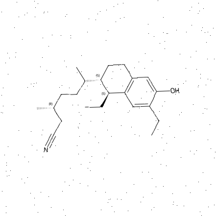 CCc1cc2c(cc1O)CC[C@@H](C(C)CC[C@@H](C)CC#N)[C@@H]2CC